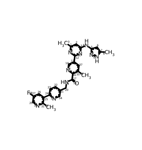 Cc1cc(Nc2cc(C)[nH]n2)nc(-c2cnc(C(=O)NCc3ccc(-c4cc(F)cnc4C)nc3)c(C)c2)n1